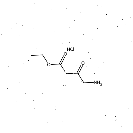 CCOC(=O)CC(=O)CN.Cl